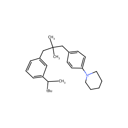 CC(c1cccc(CC(C)(C)Cc2ccc(N3CCCCC3)cc2)c1)C(C)(C)C